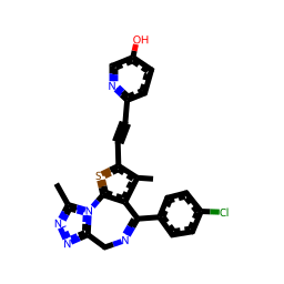 Cc1c(C#Cc2ccc(O)cn2)sc2c1C(c1ccc(Cl)cc1)=NCc1nnc(C)n1-2